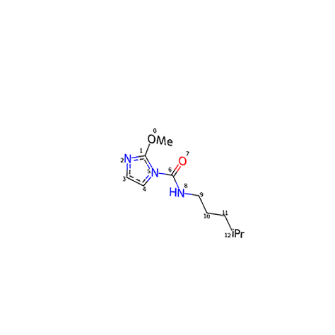 COc1nccn1C(=O)NCCCC(C)C